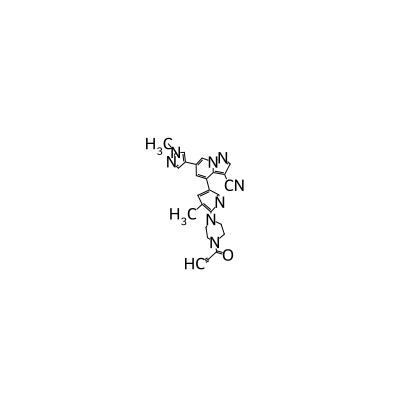 C#CC(=O)N1CCN(c2ncc(-c3cc(-c4cnn(C)c4)cn4ncc(C#N)c34)cc2C)CC1